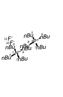 CCCC[N+](CCCC)(CCCC)CCCC.CCCC[P+](CCCC)(CCCC)CCCC.[F-].[F-]